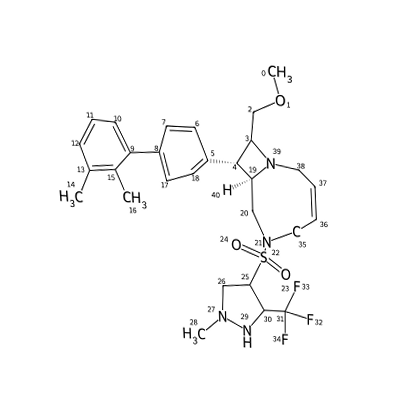 COCC1[C@@H](c2ccc(-c3cccc(C)c3C)cc2)[C@@H]2CN(S(=O)(=O)C3CN(C)NC3C(F)(F)F)C/C=C\CN12